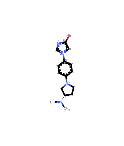 CN(C)[C@H]1CCN(c2ccc(-n3cnc(Br)c3)cc2)C1